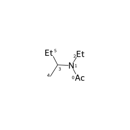 [CH2]C(=O)N(CC)C(C)CC